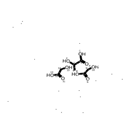 CC(O)C(=O)O.O=C(O)CO.O=C(O)CO